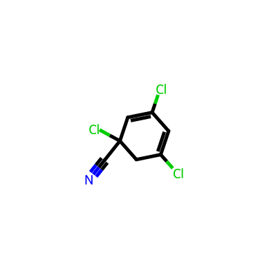 N#CC1(Cl)C=C(Cl)C=C(Cl)C1